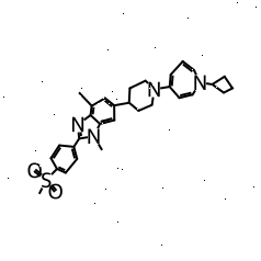 Cc1cc(C2CCN(C3=CC=CN(C4CCC4)C=C3)CC2)cc2c1nc(-c1ccc(S(C)(=O)=O)cc1)n2C